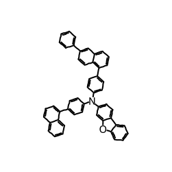 c1ccc(-c2ccc3c(-c4ccc(N(c5ccc(-c6cccc7ccccc67)cc5)c5ccc6c(c5)oc5ccccc56)cc4)cccc3c2)cc1